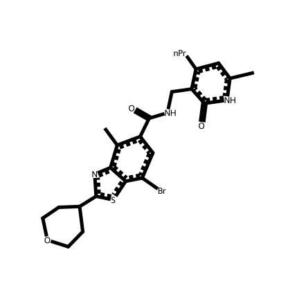 CCCc1cc(C)[nH]c(=O)c1CNC(=O)c1cc(Br)c2sc(C3CCOCC3)nc2c1C